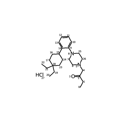 CCC(=O)CN1CCN(c2ccccc2C2CCC(CC)(CC)CC2)CC1.Cl